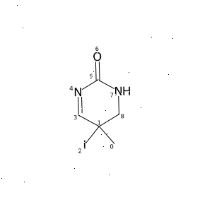 CC1(I)C=NC(=O)NC1